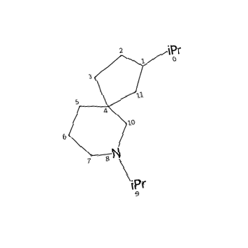 CC(C)C1CCC2(CCCN(C(C)C)C2)C1